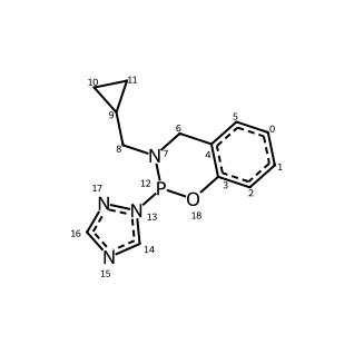 c1ccc2c(c1)CN(CC1CC1)P(n1cncn1)O2